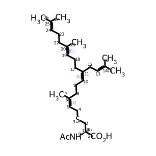 CC(=O)N[C@@H](CSC/C=C(/C)CC/C=C(/CC=C(C)C)CC/C=C(\C)CCC=C(C)C)C(=O)O